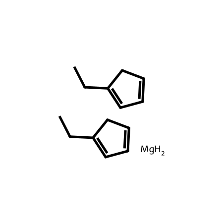 CCC1=CC=CC1.CCC1=CC=CC1.[MgH2]